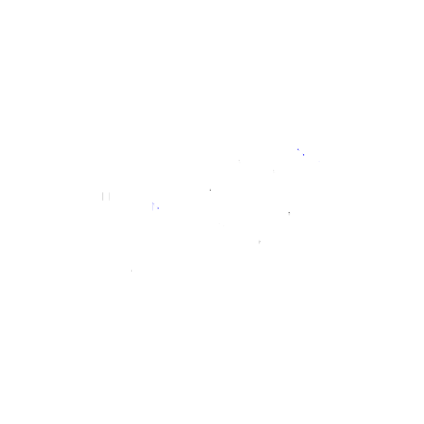 CC(Oc1ccc(N)cc1)N(C)C